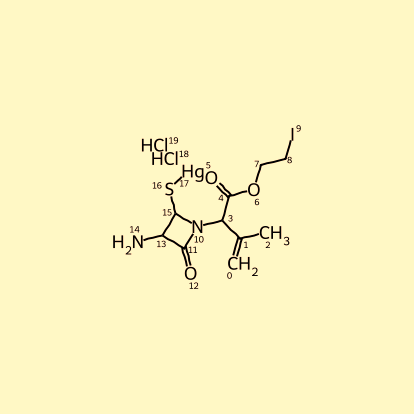 C=C(C)C(C(=O)OCCI)N1C(=O)C(N)C1[S][Hg].Cl.Cl